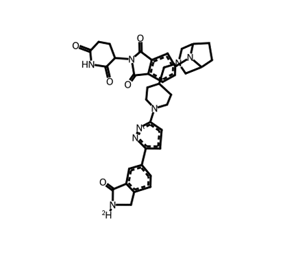 [2H]N1Cc2ccc(-c3ccc(N4CCC(CN5CC6CCC(C5)N6c5ccc6c(c5)C(=O)N(C5CCC(=O)NC5=O)C6=O)CC4)nn3)cc2C1=O